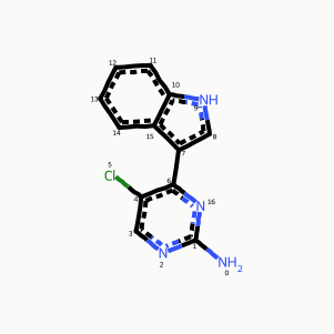 Nc1ncc(Cl)c(-c2c[nH]c3ccccc23)n1